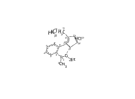 CC[O][Ti]([CH3])[c]1ccccc1C1=C(C)C=CC1.Cl.Cl